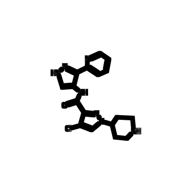 O=C(Nc1c[nH]nc1-c1ccccn1)c1nn(C2CCNCC2)cc1Cl